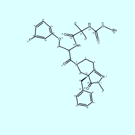 CN1N=C2CCN(C(=O)C(COc3cccc(F)c3)NC(=O)C(C)(C)NC(=O)OC(C)(C)C)C[C@@]2(Cc2ccccc2)C1=O